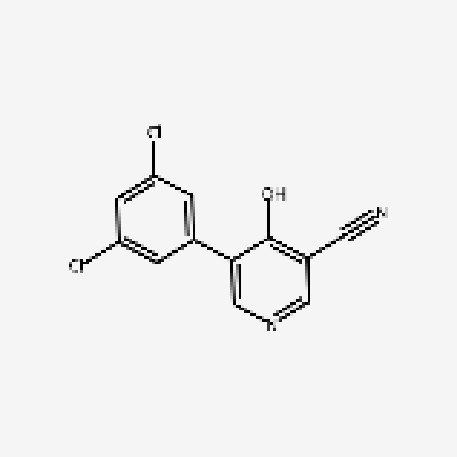 N#Cc1cncc(-c2cc(Cl)cc(Cl)c2)c1O